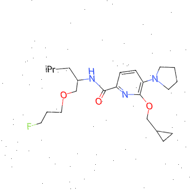 CC(C)CC(COCCCF)NC(=O)c1ccc(N2CCCC2)c(OCC2CC2)n1